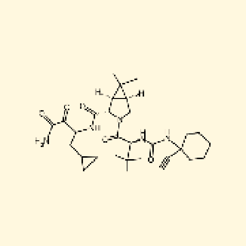 C#CC1(NC(=O)N[C@H](C(=O)N2C[C@H]3[C@@H]([C@H]2C(=O)NC(CC2CC2)C(=O)C(N)=O)C3(C)C)C(C)(C)C)CCCCC1